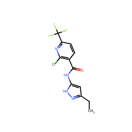 CCc1cc(NC(=O)c2ccc(C(F)(F)F)nc2Cl)[nH]n1